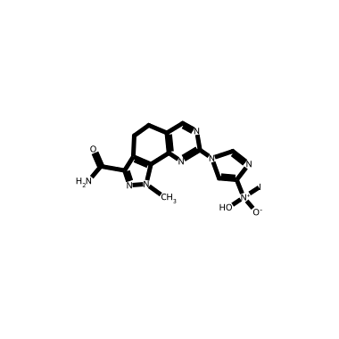 Cn1nc(C(N)=O)c2c1-c1nc(-n3cnc([N+]([O-])(O)I)c3)ncc1CC2